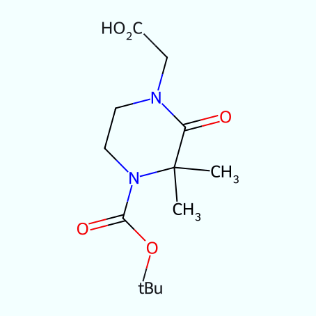 CC(C)(C)OC(=O)N1CCN(CC(=O)O)C(=O)C1(C)C